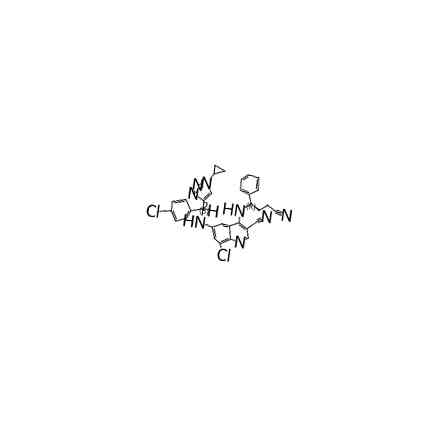 [2H][C@](Nc1cc(Cl)c2ncc(C#N)c(N[C@H](CCC#N)c3ccccc3)c2c1)(c1ccc(Cl)cc1)c1cn(C2CC2)nn1